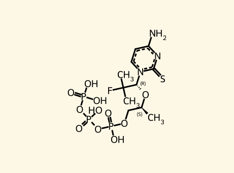 C[C@@H](COP(=O)(O)OP(=O)(O)OP(=O)(O)O)O[C@@H](n1ccc(N)nc1=S)C(C)(C)F